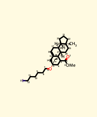 COC(=O)C1C[C@H](OCCCCCCI)CC2=CC[C@H]3[C@@H]4CCC[C@@]4(C)CC[C@@H]3[C@]21C